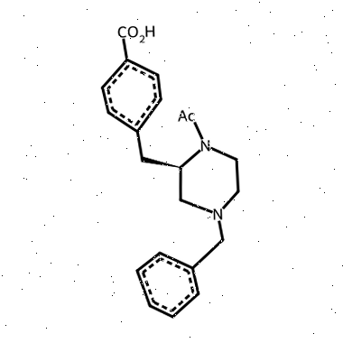 CC(=O)N1CCN(Cc2ccccc2)C[C@H]1Cc1ccc(C(=O)O)cc1